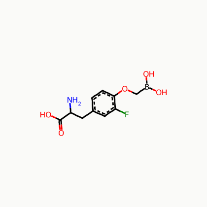 NC(Cc1ccc(OCB(O)O)c(F)c1)C(=O)O